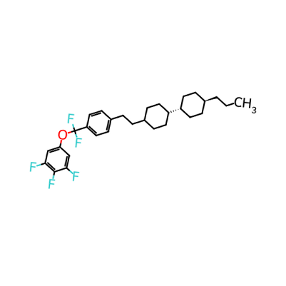 CCC[C@H]1CC[C@H](C2CCC(CCc3ccc(C(F)(F)Oc4cc(F)c(F)c(F)c4)cc3)CC2)CC1